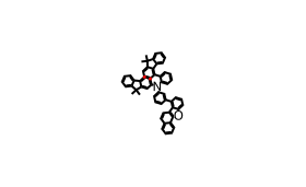 CC1(C)c2ccccc2-c2ccc(N(c3cccc(-c4cccc5oc6c7ccccc7ccc6c45)c3)c3ccccc3-c3cccc4c3-c3ccccc3C4(C)C)cc21